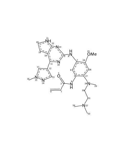 C=CC(=O)Nc1cc(Nc2nc(-c3cnn(C)c3)c3cc[nH]c3n2)c(OC)cc1N(C)CCN(C)C